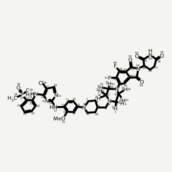 [2H]C1([2H])N(CC2CCN(c3ccc(Nc4ncc(Cl)c(Nc5ccccc5P(C)(C)=O)n4)c(OC)c3)CC2)C([2H])([2H])C([2H])([2H])N(c2cc3c(c(F)c2F)C(=O)N(C2CCC(=O)NC2=O)C3=O)C1([2H])[2H]